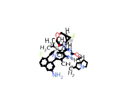 [2H]C([2H])(Oc1nc(N2CCOC[C@H]3[C@H](F)[C@H]32)c2cnc(-c3cc(N)cc4ccc(F)c(C#C[Si](C(C)C)(C(C)C)C(C)C)c34)c(C)c2n1)[C@@]12CCCN1CC(=C)C2